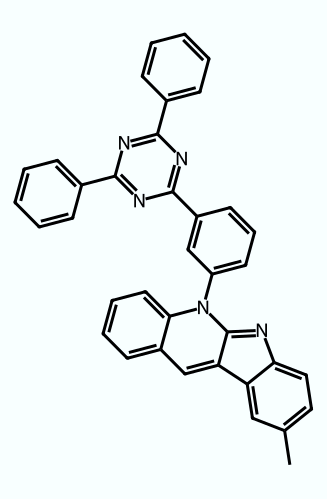 Cc1ccc2nc3n(-c4cccc(-c5nc(-c6ccccc6)nc(-c6ccccc6)n5)c4)c4ccccc4cc-3c2c1